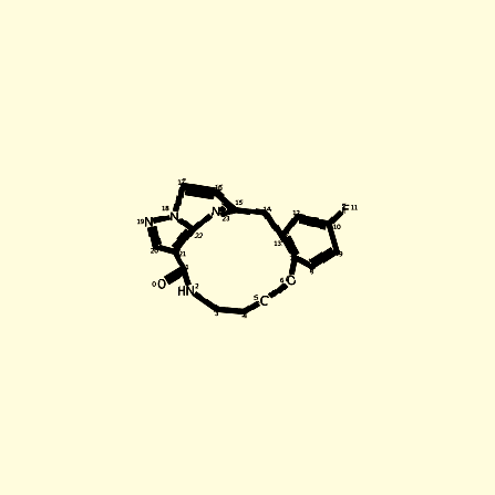 O=C1NCCCOc2ccc(F)cc2Cc2ccn3ncc1c3n2